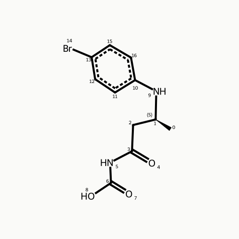 C[C@@H](CC(=O)NC(=O)O)Nc1ccc(Br)cc1